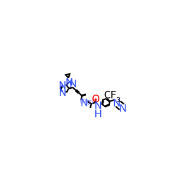 C=C(C#CC1=NN(C2CC2)C2N=CN=CC12)/C=N\C=C(/C)C(=O)Nc1ccc(CN2CCN(C)CC2)c(C(F)(F)F)c1